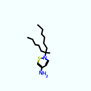 CCCCCCC(C)(CCCCC)N1C=CC(N)=CS1